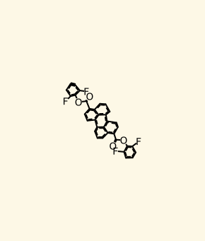 O=C(Oc1c(F)c#ccc1F)c1ccc2c3cccc4c(C(=O)Oc5c(F)cccc5F)ccc(c5cccc1c25)c43